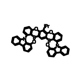 CC(C)c1c2c(cc3c1Oc1cccc4c1B3Oc1cccc3c5ccccc5n-4c13)B1Oc3cccc4c5ccccc5n(c34)-c3cccc(c31)O2